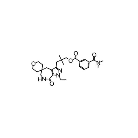 CCn1nc(CC(C)(C)COC(=O)c2cccc(C(=O)N(C)C)c2)c2c1C(=O)NCC1(CCOCC1)C2